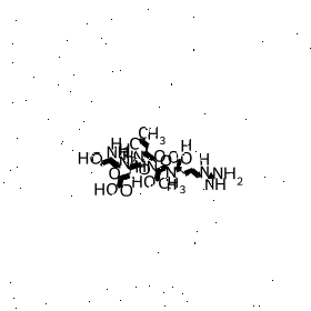 CC(C)C[C@H](NC(=O)[C@H](CCC(=O)O)NC(=O)[C@@H](N)CO)C(=O)N[C@H](C(=O)N[C@@H](CCCNC(=N)N)C(=O)O)[C@@H](C)O